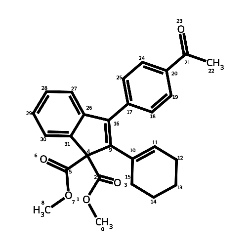 COC(=O)C1(C(=O)OC)C(C2=CCCCC2)=C(c2ccc(C(C)=O)cc2)c2ccccc21